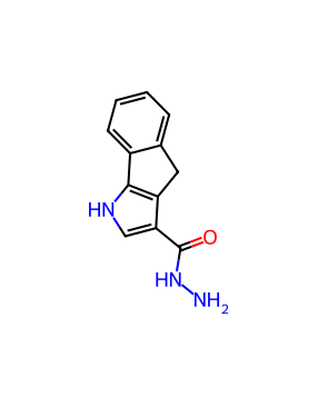 NNC(=O)c1c[nH]c2c1Cc1ccccc1-2